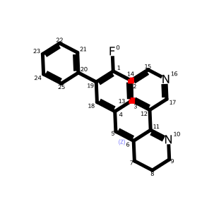 Fc1ccc(/C=C2/CCCN=C2c2cccnc2)cc1-c1ccccc1